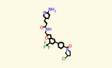 Nc1ccc(/C=C/C(=O)NCc2cc3cc(-c4ccc(C(=O)N5CCC(Cl)C5)cc4)cc(C(F)(F)F)c3o2)cn1